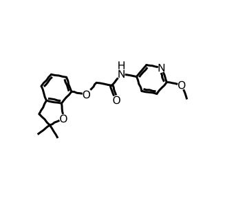 COc1ccc(NC(=O)COc2cccc3c2OC(C)(C)C3)cn1